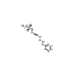 CS(=O)(=O)OCC#CCCCCc1ccccc1